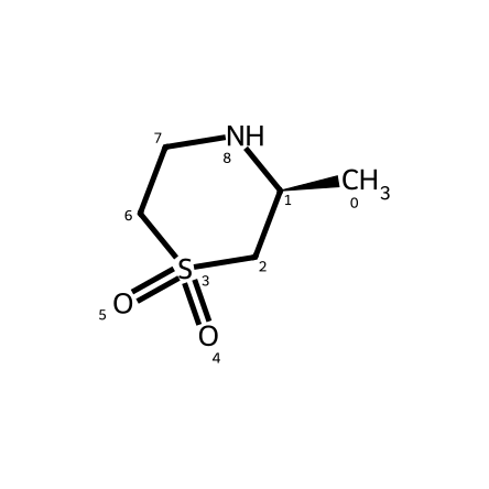 C[C@H]1CS(=O)(=O)CCN1